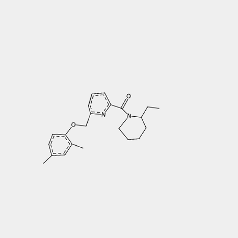 CCC1CCCCN1C(=O)c1cccc(COc2ccc(C)cc2C)n1